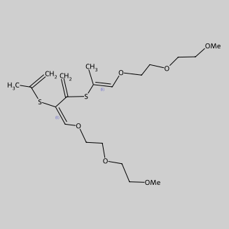 C=C(C)S/C(=C/OCCOCCOC)C(=C)S/C(C)=C/OCCOCCOC